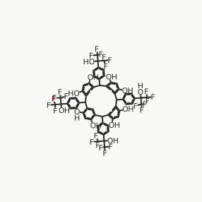 Oc1cc(O)c2cc1C(c1ccc(C(O)(C(F)(F)F)C(F)(F)F)cc1)c1cc(c(O)cc1O)C(c1ccc(C(O)(C(F)(F)F)C(F)(F)F)cc1)c1cc(c(O)cc1O)C(c1ccc(C(O)(C(F)(F)F)C(F)(F)F)cc1)c1cc(c(O)cc1O)C2c1ccc(C(O)(C(F)(F)F)C(F)(F)F)cc1